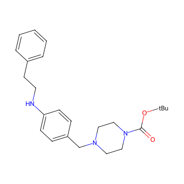 CC(C)(C)OC(=O)N1CCN(Cc2ccc(NCCc3ccccc3)cc2)CC1